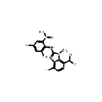 CCC(CC)c1ccc(Cl)c2nc(Nc3c(C)cc(Cl)cc3[S+](C)[O-])n(C)c12